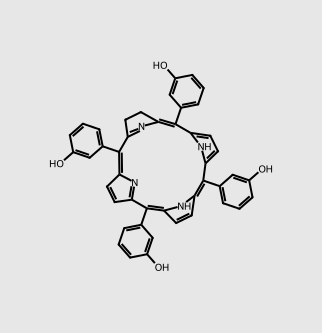 Oc1cccc(-c2c3nc(c(-c4cccc(O)c4)c4ccc([nH]4)c(-c4cccc(O)c4)c4ccc([nH]4)c(-c4cccc(O)c4)c4nc2CC4)C=C3)c1